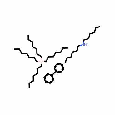 CCCCCCC[B-](CCCCCCC)(CCCCCCC)CCCCCCC.CCCCCC[NH2+]CCCCCC.c1ccc(-c2ccccc2)cc1